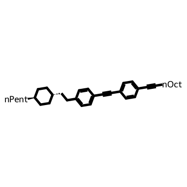 CCCCCCCCC#Cc1ccc(C#Cc2ccc(CC[C@H]3CC[C@H](CCCCC)CC3)cc2)cc1